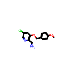 COc1ccc(COc2cc(Cl)cnc2CN)cc1